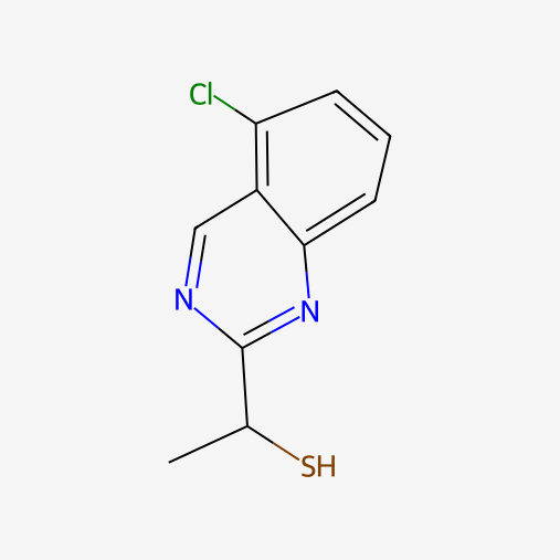 CC(S)c1ncc2c(Cl)cccc2n1